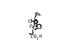 C=C(CCN1C=C2CCCC[C@@]2(c2ccc(CCC(C)(C)C)c(Cl)c2)NC1=O)C(=O)O